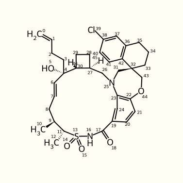 C=CCC[C@]1(O)/C=C/C[C@H](C)[C@@H](C)S(=O)(=O)NC(=O)c2ccc3c(c2)N(C[C@@H]2CC[C@H]21)C[C@@]1(CCCc2cc(Cl)ccc21)CO3